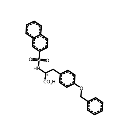 O=C(O)[C@H](Cc1ccc(OCc2ccccc2)cc1)NS(=O)(=O)c1ccc2ccccc2c1